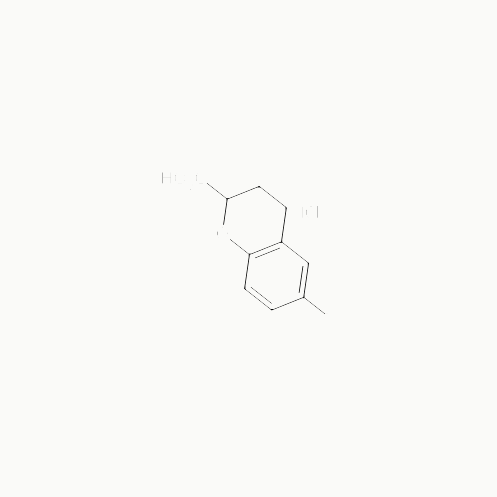 Cl.O=C(O)C1CCc2cc(F)ccc2O1